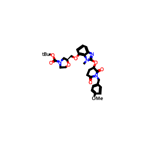 COc1ccc(CN2C(=O)CCC(Oc3nc4cccc(OC[C@@H]5CN(C(=O)OC(C)(C)C)CCO5)c4n3C)C2=O)cc1